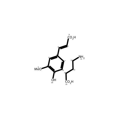 COc1cc(C=CC(=O)O)ccc1O.NCCCC(=O)O